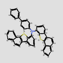 c1ccc(-c2ccc(N(c3cccc4c3sc3c5ccccc5ccc43)c3cccc4c3sc3c5ccccc5ccc43)cc2)cc1